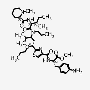 CCCO[C@H](CC(C(C)C)N(CCC)C(=O)[C@@H](NC(=O)[C@H]1CCCCN1C)[C@@H](C)CC)c1nc(C(=O)N[C@@H](Cc2ccc(N)cc2)C(=O)OC)cs1